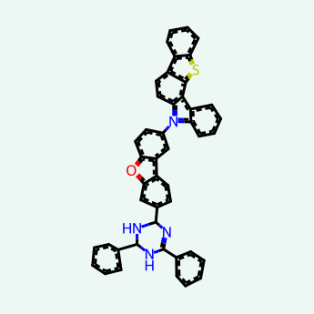 c1ccc(C2=NC(c3ccc4c(c3)oc3ccc(-n5c6ccccc6c6c7sc8ccccc8c7ccc65)cc34)NC(c3ccccc3)N2)cc1